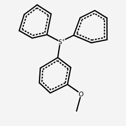 COc1cccc([S+](c2ccccc2)c2ccccc2)c1